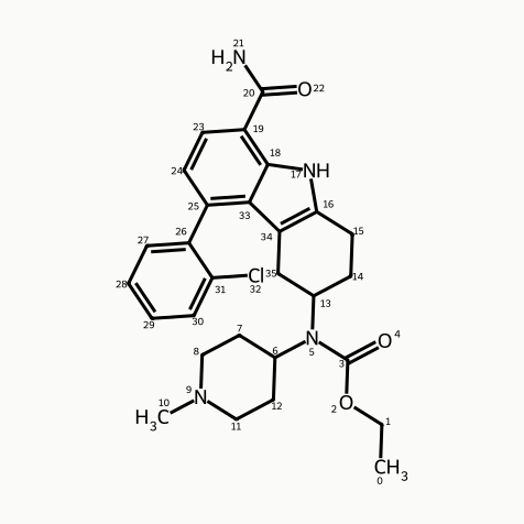 CCOC(=O)N(C1CCN(C)CC1)C1CCc2[nH]c3c(C(N)=O)ccc(-c4ccccc4Cl)c3c2C1